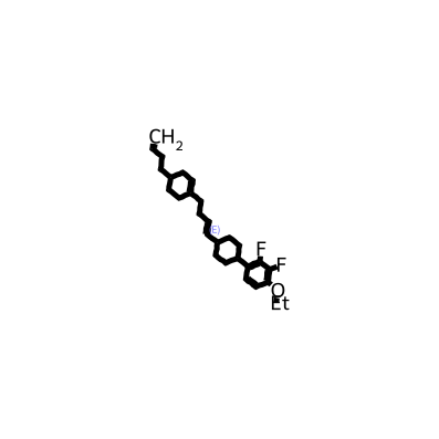 C=CCCC1CC=C(CC/C=C/C2CCC(c3ccc(OCC)c(F)c3F)CC2)CC1